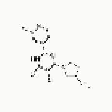 NC1CCN(c2nc(-c3ccnc(F)c3)[nH]c(=O)c2Cl)C1